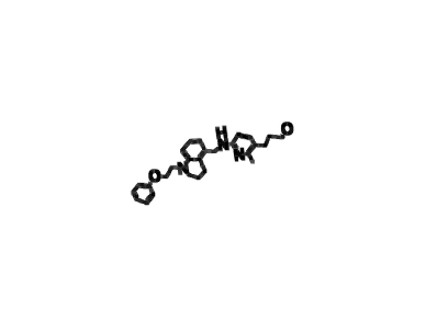 Cc1nc(NCc2cccc3c2CCCN3CCOc2ccccc2)ccc1CCC=O